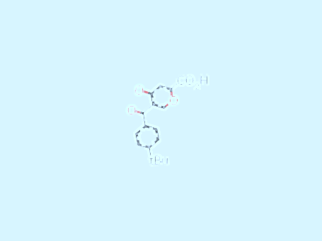 CC(C)(C)c1ccc(C(=O)c2coc(C(=O)O)cc2=O)cc1